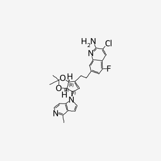 Cc1nccc2c1ccn2[C@@H]1C=C(CCc2cc(F)c3cc(Cl)c(N)nc3c2)[C@H]2OC(C)(C)O[C@H]21